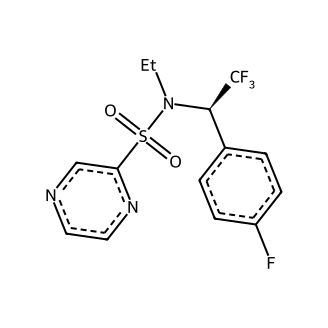 CCN([C@H](c1ccc(F)cc1)C(F)(F)F)S(=O)(=O)c1cnccn1